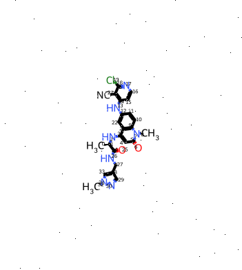 C[C@@H](Nc1cc(=O)n(C)c2ccc(Nc3ccnc(Cl)c3C#N)cc12)C(=O)NCc1cnn(C)c1